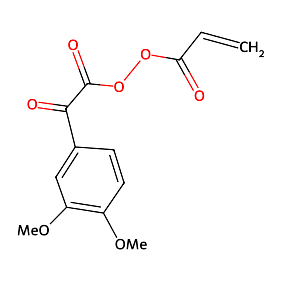 C=CC(=O)OOC(=O)C(=O)c1ccc(OC)c(OC)c1